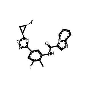 Cc1c(F)cc(-c2noc([C@@H]3C[C@@H]3F)n2)cc1NC(=O)c1cnc2ccccn12